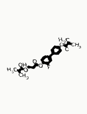 C=C(C)C(=O)Oc1ccc(-c2ccc(OC(=O)CCOC(O)C(=C)C)c(F)c2)cc1